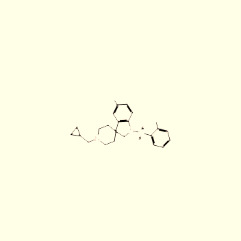 O=S(=O)(c1ccccc1Cl)N1CC2(CCN(CC3CC3)CC2)c2cc(F)ccc21